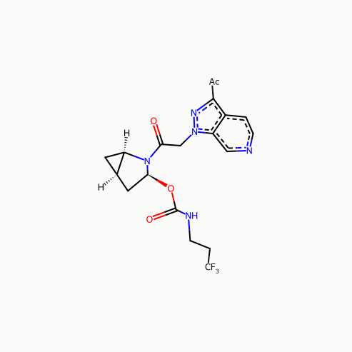 CC(=O)c1nn(CC(=O)N2[C@@H](OC(=O)NCCC(F)(F)F)C[C@H]3C[C@H]32)c2cnccc12